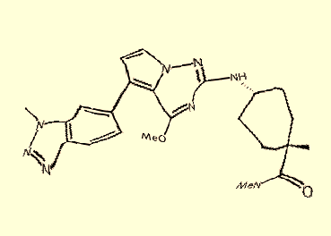 CNC(=O)[C@]1(C)CC[C@H](Nc2nc(OC)c3c(-c4ccc5nnn(C)c5c4)ccn3n2)CC1